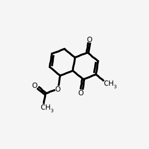 CC(=O)OC1C=CCC2C(=O)C=C(C)C(=O)C12